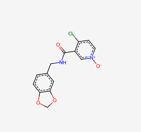 O=C(NCc1ccc2c(c1)OCO2)c1c[n+]([O-])ccc1Cl